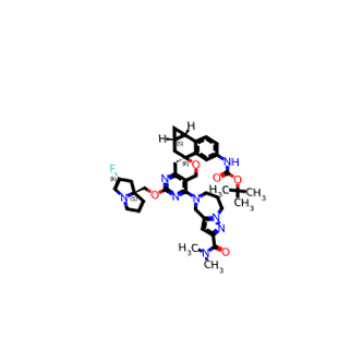 CN(C)C(=O)c1cc2n(n1)CCCN(c1nc(OC[C@@]34CCCN3C[C@H](F)C4)nc3c1CO[C@@]1(C3)C[C@@H]3C[C@@H]3c3ccc(NC(=O)OC(C)(C)C)cc31)C2